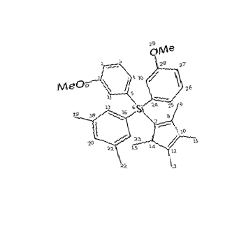 COc1cccc([Si](C2=C(C)C(C)=C(C)C2C)(c2cc(C)cc(C)c2)c2cccc(OC)c2)c1